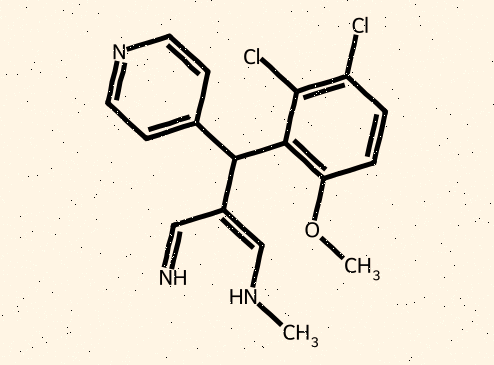 CN/C=C(\C=N)C(c1ccncc1)c1c(OC)ccc(Cl)c1Cl